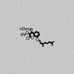 CCCCCCCCCCOc1c(OC(C)C)c(=O)oc2c(OCC=C(C)CCC=C(C)C)cccc12